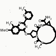 COc1ccc2c(OC3CC4C(=O)NC5(C(N)=O)CC5C=CCCCCN(C)C(=O)N4C3)nc(-c3cccc(C)n3)nc2c1C